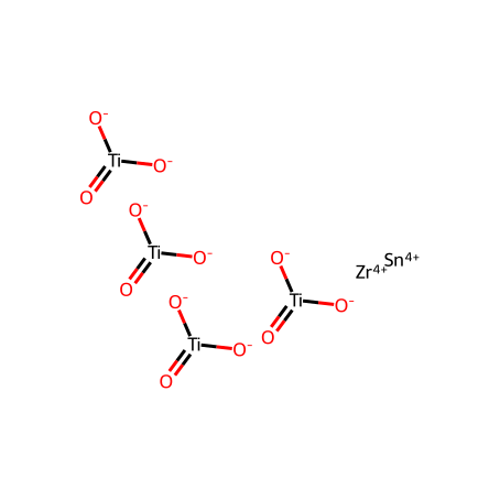 [O]=[Ti]([O-])[O-].[O]=[Ti]([O-])[O-].[O]=[Ti]([O-])[O-].[O]=[Ti]([O-])[O-].[Sn+4].[Zr+4]